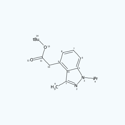 Cc1nn(C(C)C)c2cccc(CC(=O)OC(C)(C)C)c12